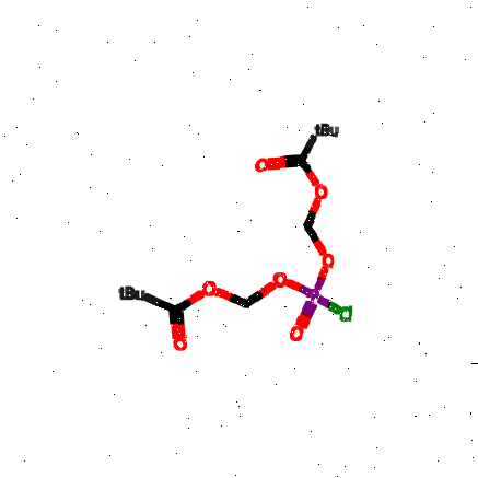 CC(C)(C)C(=O)OCOP(=O)(Cl)OCOC(=O)C(C)(C)C